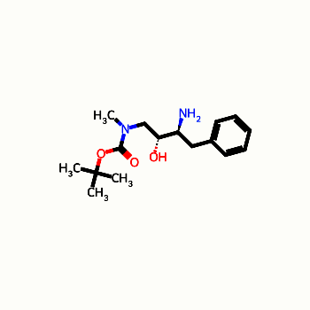 CN(C[C@@H](O)[C@@H](N)Cc1ccccc1)C(=O)OC(C)(C)C